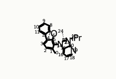 Cc1ccc2c(oc3ccccc32)c1N1c2cccnc2N(C(C)C)[C@H]1C